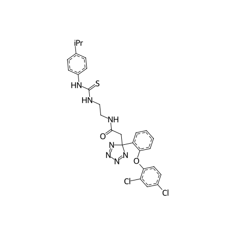 CC(C)c1ccc(NC(=S)NCCNC(=O)CC2(c3ccccc3Oc3ccc(Cl)cc3Cl)N=NN=N2)cc1